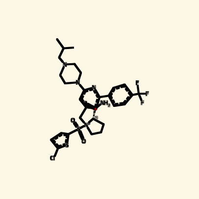 CC(C)CN1CCN(c2cc(C[N+]3(S(=O)(=O)c4ccc(Cl)s4)CCC[C@H]3C(N)=O)cc(-c3ccc(C(F)(F)F)cc3)n2)CC1